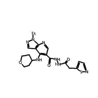 CCn1ncc2c(NC3CCOCC3)c(C(=O)NNC(=O)Cc3ccns3)cnc21